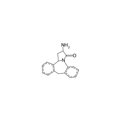 NC1CC2c3ccccc3Cc3ccccc3N2C1=O